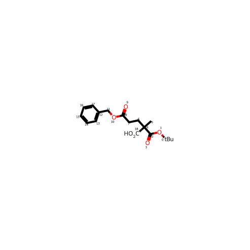 CC(C)(C)OC(=O)C(C)(CCC(=O)OCc1ccccc1)C(=O)O